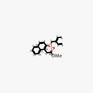 C=C/C(=C\C)COc1ccc2ccccc2c1CC(=O)OC